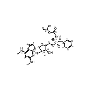 CNc1nc(NC)c2ncn([C@@H]3OC(CO[P@@](=O)(N[C@@H](C)C(=O)OC(C)C)Oc4ccccc4)[C@@H](O)[C@@]3(C)F)c2n1